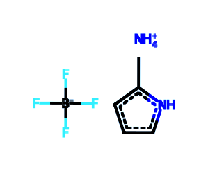 Cc1ccc[nH]1.F[B-](F)(F)F.[NH4+]